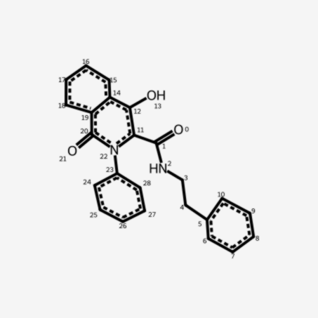 O=C(NCCc1ccccc1)c1c(O)c2ccccc2c(=O)n1-c1ccccc1